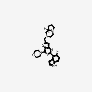 Fc1ccc2[nH]ccc2c1-c1nc(N2CCOCC2)c2sc(CN3CCN4CCC[C@H]4C3)cc2n1